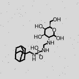 O=P(O)(NCN[C@H]1C(O)O[C@H](CO)[C@H](O)[C@@H]1O)NCC12CC3CC(CC(C3)C1)C2